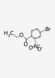 CCOC(=O)c1ccc(Br)cc1[N+](=O)[O-]